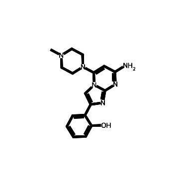 CN1CCN(c2cc(N)nc3nc(-c4ccccc4O)cn23)CC1